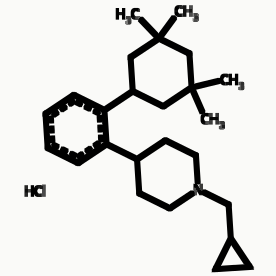 CC1(C)CC(c2ccccc2C2CCN(CC3CC3)CC2)CC(C)(C)C1.Cl